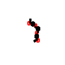 C#CC(=O)c1ccc(OCc2cccc(COc3ccc(C(=O)C#C)cc3)c2)cc1